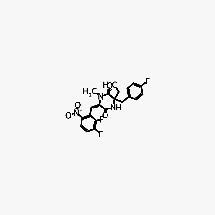 CCC1(Cc2ccc(F)cc2)NC(=O)C(=Cc2c([N+](=O)[O-])ccc(F)c2F)N(C)C1=O